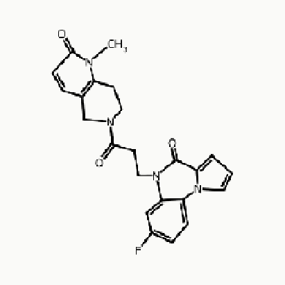 Cn1c2c(ccc1=O)CN(C(=O)CCn1c(=O)c3cccn3c3ccc(F)cc31)CC2